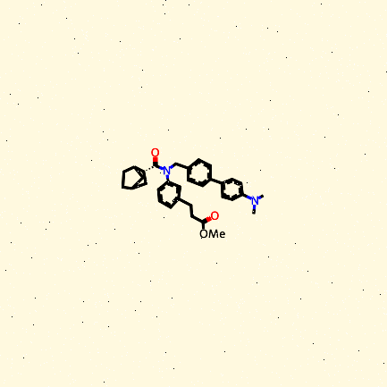 COC(=O)CCc1cccc(N(Cc2ccc(-c3ccc(N(C)C)cc3)cc2)C(=O)[C@@H]2CC3CCC2C3)c1